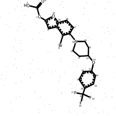 O=C(O)Oc1cc2c(Br)c(N3CCC(Oc4ccc(C(F)(F)F)cc4)CC3)ccc2o1